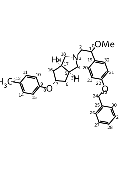 COC(CN1C[C@H]2C[C@H](Oc3ccc(C)cc3)C[C@H]2C1)c1ccc(OCc2ccccc2)cc1